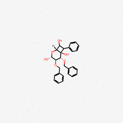 OC1C(c2ccccc2)[C@@]2(O)[C@@H]1O[C@@H](O)[C@H](OCc1ccccc1)[C@H]2OCc1ccccc1